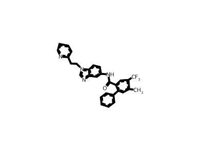 Cc1cc(-c2ccccc2)c(C(=O)Nc2ccc3c(c2)ncn3CCc2ccccn2)cc1C(F)(F)F